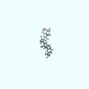 CO[C@@H]1COCC[C@@H]1N[C@@H]1CC[C@@](C(=O)N2C[C@@H]3C[C@H]2CN3c2cc(C(C)(F)F)ncn2)(C(C)C)C1